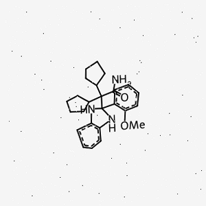 COc1ccccc1C1(C(C(N)=O)(C2CCCC2)C2CCCC2)Nc2ccccc2N1